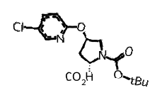 CC(C)(C)OC(=O)N1C[C@H](Oc2ccc(Cl)cn2)C[C@H]1C(=O)O